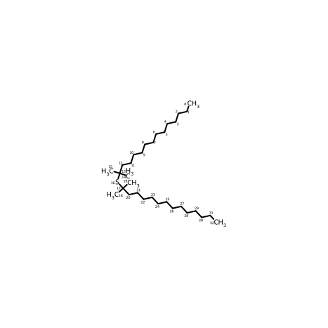 CCCCCCCCCCCCCC(C)(C)SC(C)(C)CCCCCCCCCCCCC